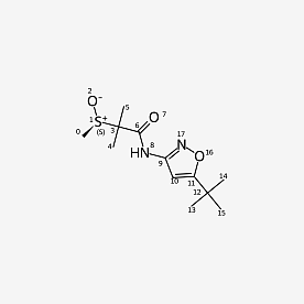 C[S@@+]([O-])C(C)(C)C(=O)Nc1cc(C(C)(C)C)on1